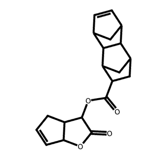 O=C(OC1C(=O)OC2C=CCC21)C1CC2CC1C1C3C=CC(C3)C21